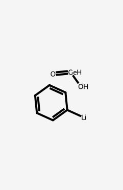 [Li][c]1ccccc1.[O]=[GeH][OH]